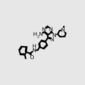 Cc1ccccc1C(=O)NCc1ccc(-c2nn([C@@H]3CCCN(C)C3)c3ncnc(N)c23)cc1